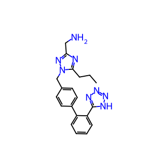 CCCc1nc(CN)nn1Cc1ccc(-c2ccccc2-c2nnn[nH]2)cc1